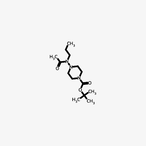 CCCN(C(C)=O)N1CCN(C(=O)OC(C)(C)C)CC1